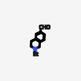 CCN1CCc2cc(C=O)ccc2C1